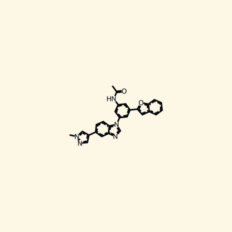 CC(=O)Nc1cc(-c2cc3ccccc3o2)cc(-n2cnc3cc(-c4cnn(C)c4)ccc32)c1